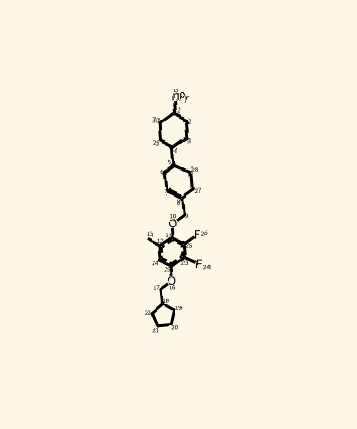 CCCC1CCC(C2CC=C(COc3c(C)cc(OCC4CCCC4)c(F)c3F)CC2)CC1